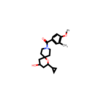 Cc1cc(C(=O)N2CCC3(CC2)CC(O)CC(C2CC2)O3)ccc1OC(C)C